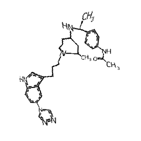 CC(=O)Nc1ccc([C@H](C)NC2CCN(CCCc3c[nH]c4ccc(-n5cnnc5)cc34)C(C)C2)cc1